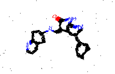 O=C1Nc2ncc(-c3ccccc3)cc2/C1=C/Nc1ccc2ncccc2c1